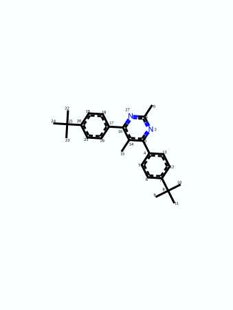 Cc1nc(-c2ccc(C(C)(C)C)cc2)c(C)c(-c2ccc(C(C)(C)C)cc2)n1